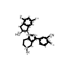 CC(=O)N1CCc2c(c(-c3ccc(F)c(C#N)c3)nn2[C@@H]2c3cc(F)cc(F)c3C[C@@H]2O)C1